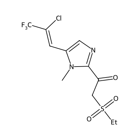 CCS(=O)(=O)CC(=O)c1ncc(C=C(Cl)C(F)(F)F)n1C